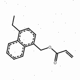 C=CC(=O)OCc1ccc(CC)c2ccccc12